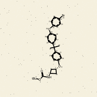 CC(C)(C)OC(=O)N[C@H]1C[C@H](Oc2ccc(C(C)(C)c3ccc(Oc4ccc(Br)cc4)cc3)cc2)C1